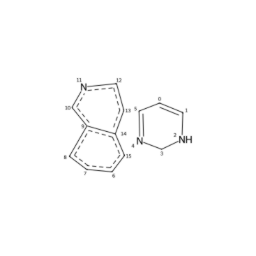 C1=CNCN=C1.c1ccc2cnccc2c1